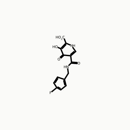 O=C(O)c1[nH]cc(C(=O)NCc2ccc(F)cc2)c(=O)c1O